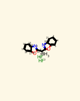 B.F.F.c1ccc2oc(Cc3nc4ccccc4o3)nc2c1